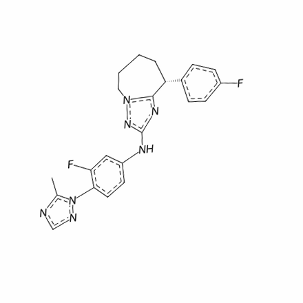 Cc1ncnn1-c1ccc(Nc2nc3n(n2)CCCC[C@@H]3c2ccc(F)cc2)cc1F